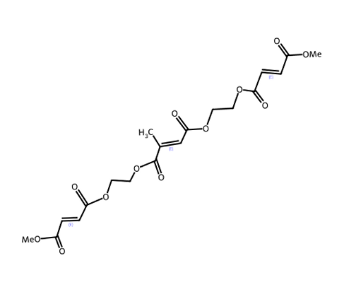 COC(=O)/C=C/C(=O)OCCOC(=O)/C=C(\C)C(=O)OCCOC(=O)/C=C/C(=O)OC